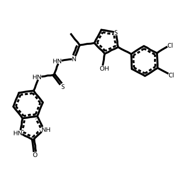 C/C(=N\NC(=S)Nc1ccc2[nH]c(=O)[nH]c2c1)c1csc(-c2ccc(Cl)c(Cl)c2)c1O